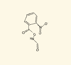 O=CNOC(=O)c1ccccc1[N+](=O)[O-]